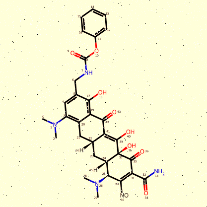 CN(C)c1cc(CNC(=O)Oc2ccccc2)c(O)c2c1C[C@H]1C[C@H]3[C@H](N(C)C)C(N=O)=C(C(N)=O)C(=O)[C@@]3(O)C(O)=C1C2=O